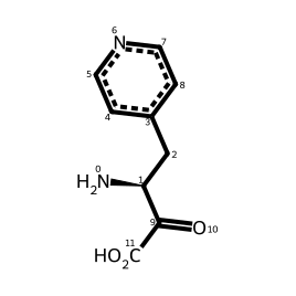 N[C@@H](Cc1ccncc1)C(=O)C(=O)O